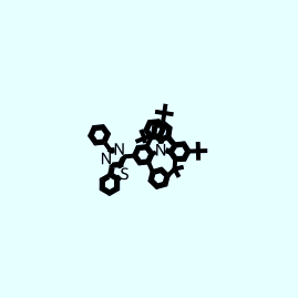 CC(C)(C)c1cc(C(C)(C)C)c2c(c1)c1cc(C(C)(C)C)cc3c1n2-c1c(-c2ccccc2)cc(-c2nc(-c4ccccc4)nc4c2sc2ccccc24)cc1-c1cccc(c1)C3(C)C